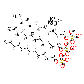 CCCCCCCCCCCCOS(=O)(=O)[O-].CCCCCCCCCCCCOS(=O)(=O)[O-].CCCCCCCCCCCCOS(=O)(=O)[O-].[K+].[Mg+2]